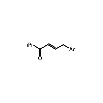 CC(=O)C/C=C/C(=O)C(C)C